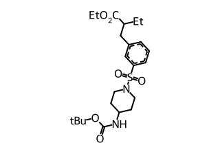 CCOC(=O)C(CC)Cc1cccc(S(=O)(=O)N2CCC(NC(=O)OC(C)(C)C)CC2)c1